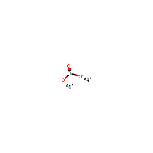 [Ag+].[Ag+].[O]=[Ti]([O-])[O-]